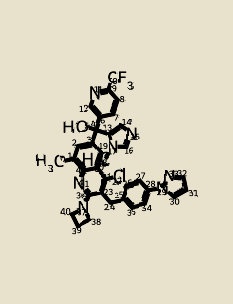 Cc1cc(C(O)(c2ccc(C(F)(F)F)nc2)c2cncn2C)cc2c(Cl)c(Cc3ccc(-n4cccn4)cc3)c(N3CCC3)nc12